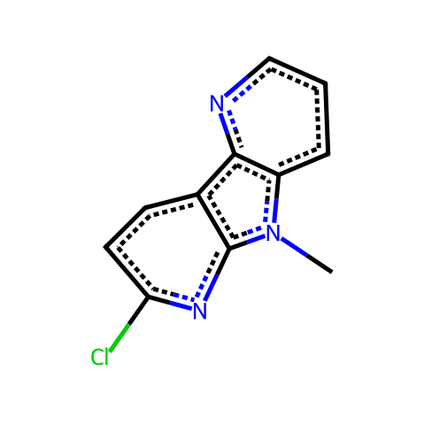 Cn1c2cccnc2c2ccc(Cl)nc21